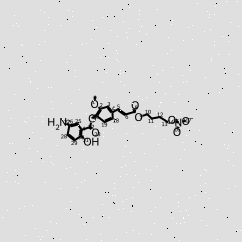 COc1cc(/C=C/C(=O)OCCCCO[N+](=O)[O-])ccc1OC(=O)c1cc(N)ccc1O